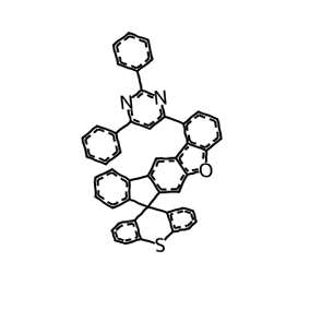 c1ccc(-c2cc(-c3cccc4oc5cc6c(cc5c34)-c3ccccc3C63c4ccccc4Sc4ccccc43)nc(-c3ccccc3)n2)cc1